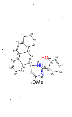 COC1=CC(C2=CC3C4C=CCCC4C=CC3C3C=CCCC23)NC(C2CCC=CC2O)=N1